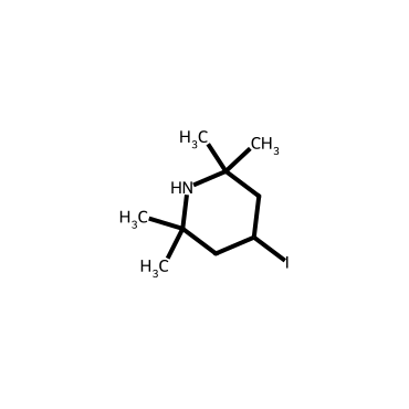 CC1(C)CC(I)CC(C)(C)N1